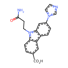 NC(=O)CCn1c2ccc(C(=O)O)cc2c2ccc(-n3ccnc3)cc21